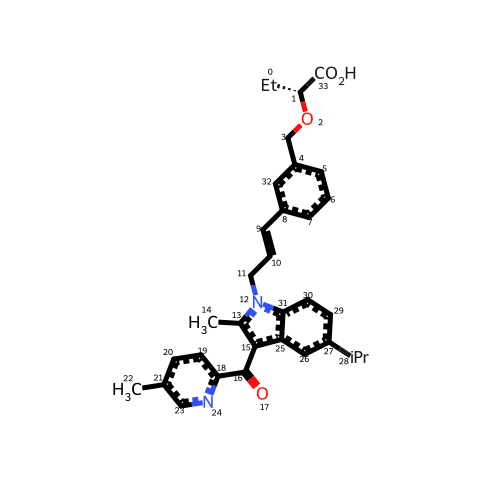 CC[C@@H](OCc1cccc(/C=C/Cn2c(C)c(C(=O)c3ccc(C)cn3)c3cc(C(C)C)ccc32)c1)C(=O)O